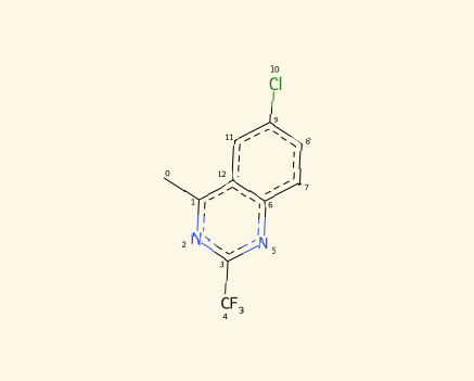 Cc1nc(C(F)(F)F)nc2ccc(Cl)cc12